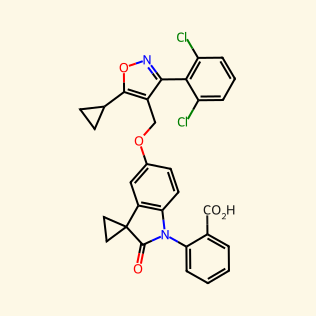 O=C(O)c1ccccc1N1C(=O)C2(CC2)c2cc(OCc3c(-c4c(Cl)cccc4Cl)noc3C3CC3)ccc21